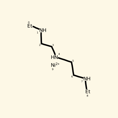 [CH2-]CNCCNCCNC[CH2-].[Ni+2]